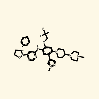 CN1CCN(C2CCN(c3cc(OCC(F)(F)F)c(Nc4cc(N5OCC[C@@H]5c5ccccc5)ncn4)cc3-c3cnn(C)c3)CC2)CC1